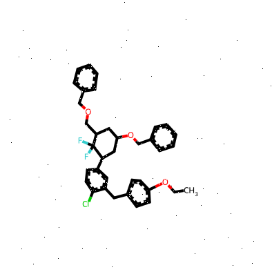 CCOc1ccc(Cc2cc(C3CC(OCc4ccccc4)CC(COCc4ccccc4)C3(F)F)ccc2Cl)cc1